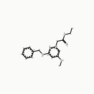 CCOC(=O)C[n+]1cc(OC)cc(OCc2ccccc2)n1